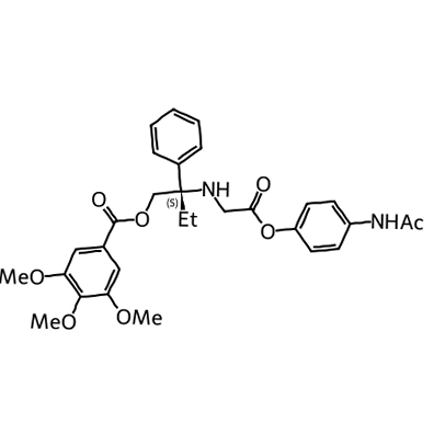 CC[C@](COC(=O)c1cc(OC)c(OC)c(OC)c1)(NCC(=O)Oc1ccc(NC(C)=O)cc1)c1ccccc1